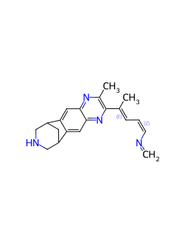 C=N/C=C\C=C(/C)c1nc2cc3c(cc2nc1C)C1CNCC3C1